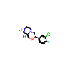 Fc1ccc(C2CN3CCNC[C@H]3CO2)cc1Cl